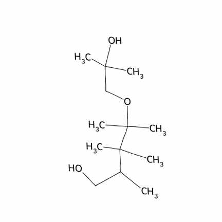 CC(CO)C(C)(C)C(C)(C)OCC(C)(C)O